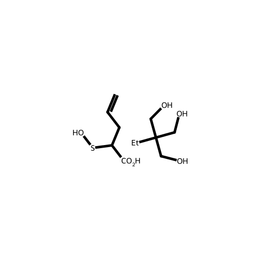 C=CCC(SO)C(=O)O.CCC(CO)(CO)CO